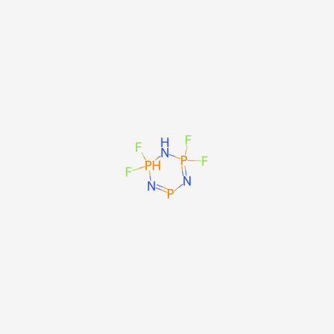 FP1(F)=NP=N[PH](F)(F)N1